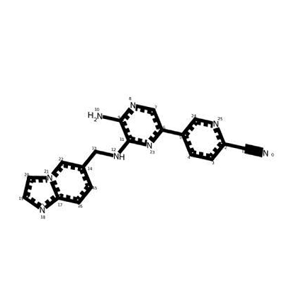 N#Cc1ccc(-c2cnc(N)c(NCc3ccc4nccn4c3)n2)cn1